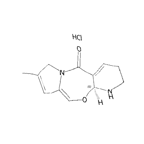 CC1=CC2=CO[C@@H]3NCCC=C3C(=O)N2C1.Cl